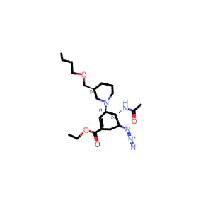 CCCCOC[C@H]1CCCN([C@@H]2C=C(C(=O)OCC)CC(N=[N+]=[N-])[C@H]2NC(C)=O)C1